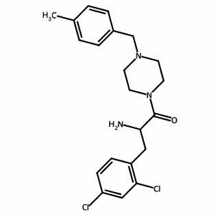 Cc1ccc(CN2CCN(C(=O)C(N)Cc3ccc(Cl)cc3Cl)CC2)cc1